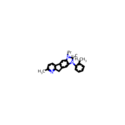 Cc1ccc2c(n1)Cc1cc3c(cc1-2)N(C(C)C)[C@H](C)N3c1ccccc1C